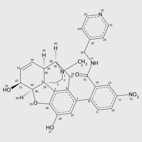 CN1CC[C@]23c4c5c(-c6ccc([N+](=O)[O-])cc6C(=O)NCc6ccncc6)cc(O)c4O[C@H]2[C@@H](O)C=C[C@H]3[C@H]1C5